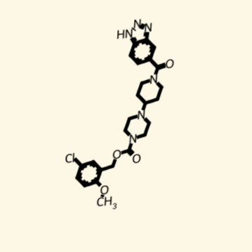 COc1ccc(Cl)cc1COC(=O)N1CCN(C2CCN(C(=O)c3ccc4[nH]nnc4c3)CC2)CC1